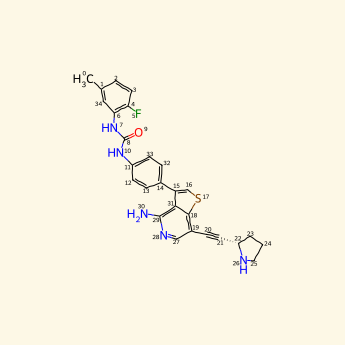 Cc1ccc(F)c(NC(=O)Nc2ccc(-c3csc4c(C#C[C@@H]5CCCN5)cnc(N)c34)cc2)c1